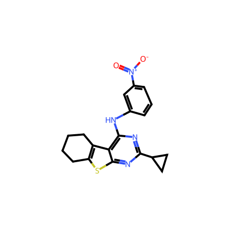 O=[N+]([O-])c1cccc(Nc2nc(C3CC3)nc3sc4c(c23)CCCC4)c1